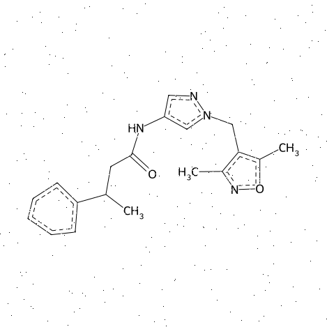 Cc1noc(C)c1Cn1cc(NC(=O)CC(C)c2ccccc2)cn1